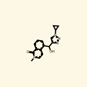 Cn1ccc2c(C(O)c3cn(C4CC4)nn3)cccc2c1=O